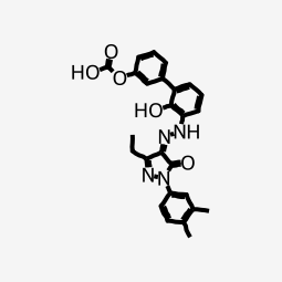 CCC1=NN(c2ccc(C)c(C)c2)C(=O)C1=NNc1cccc(-c2cccc(OC(=O)O)c2)c1O